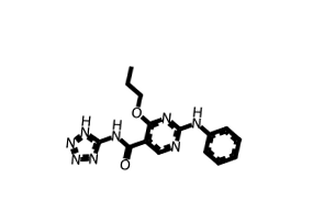 CCCOc1nc(Nc2ccccc2)ncc1C(=O)Nc1nnn[nH]1